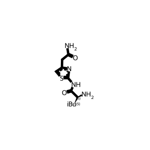 CC[C@H](C)[C@H](N)C(=O)Nc1nc(CC(N)=O)cs1